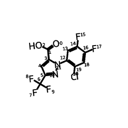 O=C(O)c1cc(C(F)(F)F)nn1-c1cc(F)c(F)cc1Cl